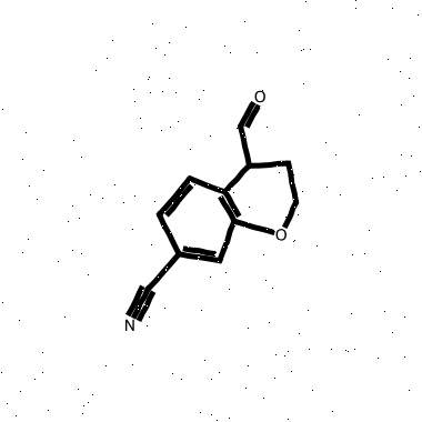 N#Cc1ccc2c(c1)OCCC2C=O